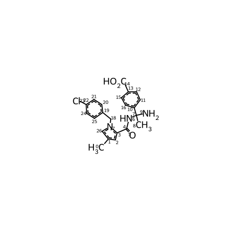 Cc1cc(C(=O)NC(C)(N)c2ccc(C(=O)O)cc2)n(Cc2ccc(Cl)cc2)c1